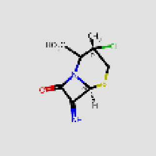 C[C@@]1(Cl)CS[C@H]2C(=N)C(=O)N2C1C(=O)O